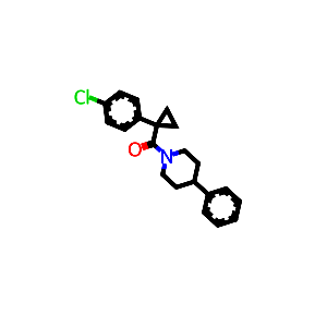 O=C(N1CCC(c2ccccc2)CC1)C1(c2ccc(Cl)cc2)CC1